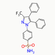 NS(=O)(=O)c1ccc(-n2nc(C(F)(F)F)c(-c3ccccc3)c2-c2ccccc2)cc1